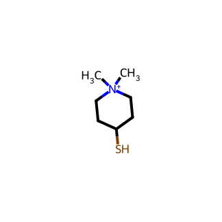 C[N+]1(C)CCC(S)CC1